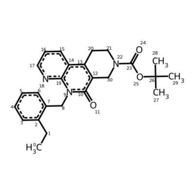 CCc1ccccc1Cn1c(=O)c2c(c3cccnc31)CCN(C(=O)OC(C)(C)C)C2